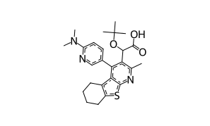 Cc1nc2sc3c(c2c(-c2ccc(N(C)C)nc2)c1C(OC(C)(C)C)C(=O)O)CCCC3